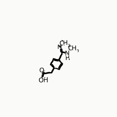 CN=C(NC)c1ccc(CC(=O)O)cc1